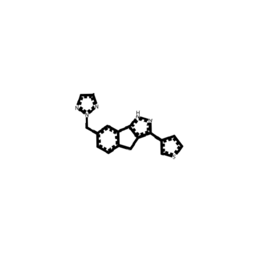 c1cnn(Cc2ccc3c(c2)-c2[nH]nc(-c4ccsc4)c2C3)n1